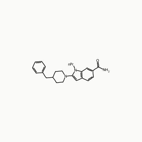 CCCn1c(N2CCC(Cc3ccccc3)CC2)cc2ccc(C(N)=O)cc21